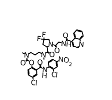 CN(CCCN(C)C(=O)C1CC(F)(F)CN1C(=O)CNC(=O)c1ccnc2ccccc12)C(=O)Oc1ccc(Cl)cc1C(=O)Nc1ccc([N+](=O)[O-])cc1Cl